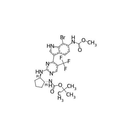 COC(=O)Nc1ccc2c(-c3nc(N[C@@H]4CCC[C@H]4NC(=O)OC(C)(C)C)ncc3C(F)(F)F)c[nH]c2c1Br